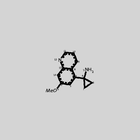 COc1cc(C2(N)CC2)c2cccnc2c1